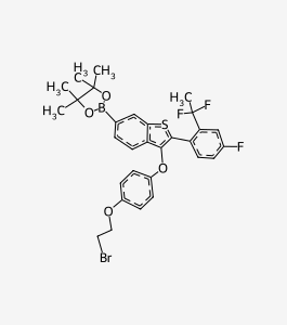 CC(F)(F)c1cc(F)ccc1-c1sc2cc(B3OC(C)(C)C(C)(C)O3)ccc2c1Oc1ccc(OCCBr)cc1